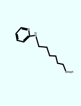 CCCCCCCCCCCCCNc1ccccn1